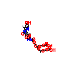 CCc1c2c(nc3ccc(O)cc13)-c1cc3c(c(=O)n1C2)COC(=O)[C@@]3(CC)OC(=O)CNC(=O)COCCOC(COCCOCC(=O)O)COCC(C)COCCOCC(=O)O